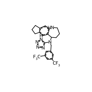 FC(F)(F)c1cc(CN(c2nnn[nH]2)C2CCCNc3cc4c(cc32)CCC4)cc(C(F)(F)F)c1